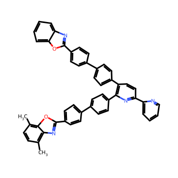 Cc1ccc(C)c2oc(-c3ccc(-c4ccc(-c5nc(-c6ccccn6)ccc5-c5ccc(-c6ccc(-c7nc8ccccc8o7)cc6)cc5)cc4)cc3)nc12